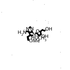 CO/C=C\c1cn(C2OC(CCO)C(O)[C@@]2(C)O)c2ncnc(N)c12